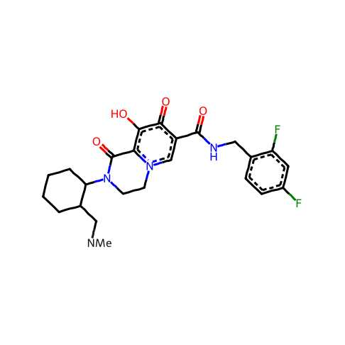 CNCC1CCCCC1N1CCn2cc(C(=O)NCc3ccc(F)cc3F)c(=O)c(O)c2C1=O